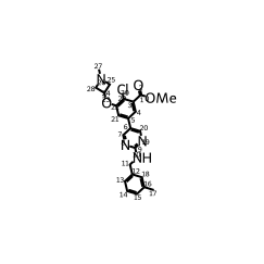 COC(=O)c1cc(-c2cnc(NCc3cccc(C)c3)nc2)cc(OC2CN(C)C2)c1Cl